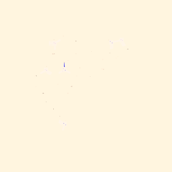 Cc1nnc(-c2ccc(C(=O)N(c3nccc4cc(-c5nccs5)cc(C)c34)[C@@H]3CCCNC3)c(F)c2)s1